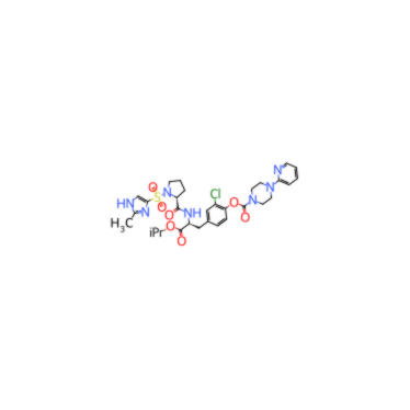 Cc1nc(S(=O)(=O)N2CCC[C@H]2C(=O)N[C@@H](Cc2ccc(OC(=O)N3CCN(c4ccccn4)CC3)c(Cl)c2)C(=O)OC(C)C)c[nH]1